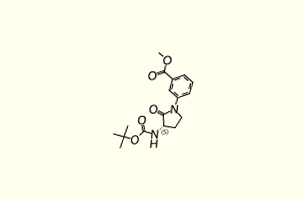 COC(=O)c1cccc(N2CC[C@H](NC(=O)OC(C)(C)C)C2=O)c1